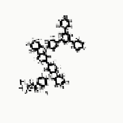 C[Si](C)(C)c1ccc(-n2c3ccccc3c3ccc(-c4ccc5c6ccccc6n(-c6ccc(-c7cc(-c8ccccc8)cc(-c8ccccc8)n7)cc6)c5c4)cc32)cc1